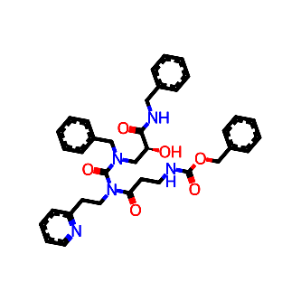 O=C(NCCC(=O)N(CCc1ccccn1)C(=O)N(Cc1ccccc1)C[C@H](O)C(=O)NCc1ccccc1)OCc1ccccc1